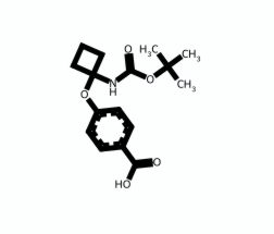 CC(C)(C)OC(=O)NC1(Oc2ccc(C(=O)O)cc2)CCC1